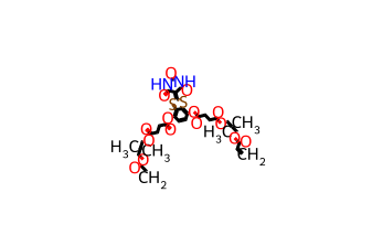 C=CC(=O)OCC(C)(C)COC(=O)CCC(=O)Oc1ccc(OC(=O)CCC(=O)OCC(C)(C)COC(=O)C=C)c2c1SC(=C1C(=O)NC(=O)NC1=O)S2